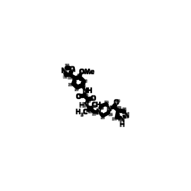 COc1cc(NC(=O)C(=O)NC(C)(C)CN2CCN(C(=O)c3cn[nH]c3)CC2)ccc1-c1cnco1